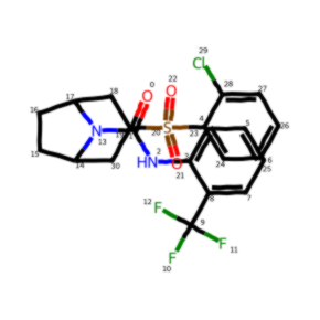 O=C(Nc1ccccc1C(F)(F)F)N1C2CCC1CC(S(=O)(=O)c1ccccc1Cl)C2